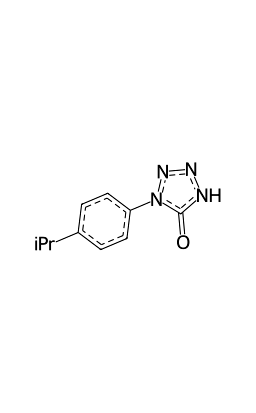 CC(C)c1ccc(-n2nn[nH]c2=O)cc1